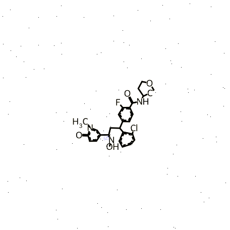 Cn1cc(/C(CC(c2ccc(C(=O)NC3CCOCC3)c(F)c2)c2ccccc2Cl)=N\O)ccc1=O